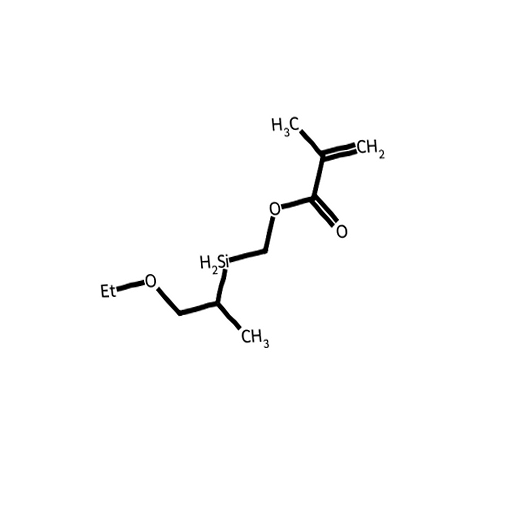 C=C(C)C(=O)OC[SiH2]C(C)COCC